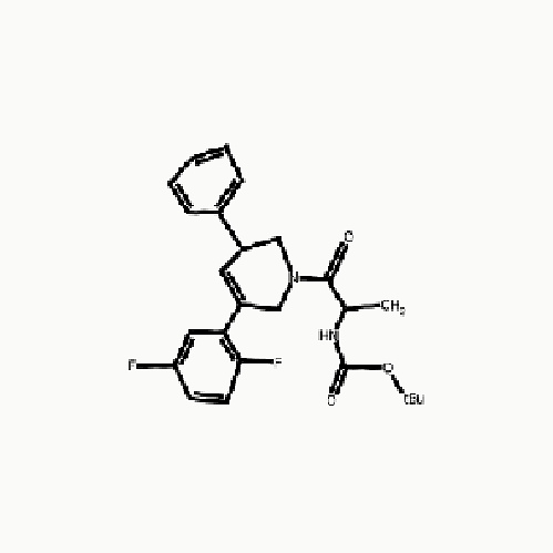 CC(NC(=O)OC(C)(C)C)C(=O)N1CC(c2cc(F)ccc2F)=CC(c2ccccc2)C1